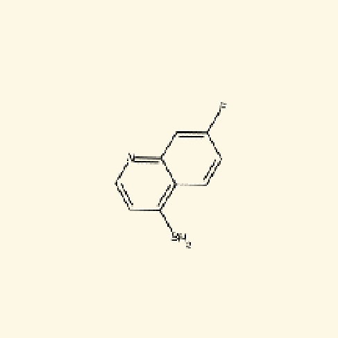 Bc1ccnc2cc(F)ccc12